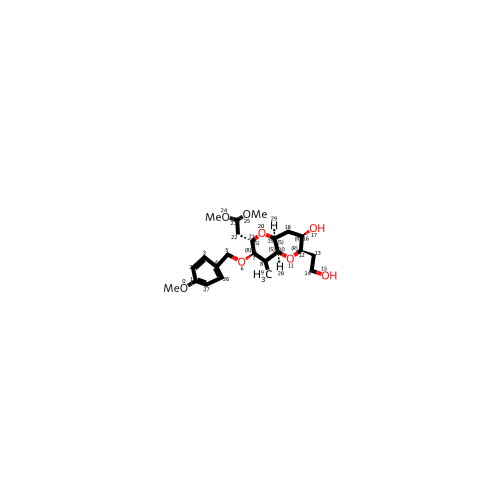 COc1ccc(CO[C@@H]2C(C)[C@@H]3O[C@H](CCO)[C@H](O)C[C@@H]3O[C@H]2CC(OC)OC)cc1